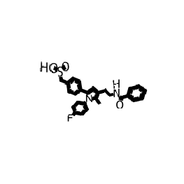 Cc1c(CCNC(=O)c2ccccc2)cc(-c2ccc(CS(=O)O)cc2)n1-c1ccc(F)cc1